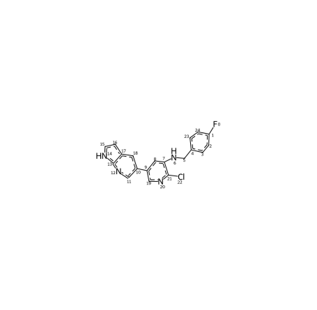 Fc1ccc(CNc2cc(-c3cnc4[nH]ccc4c3)cnc2Cl)cc1